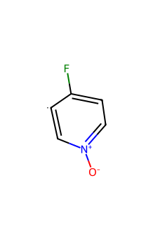 [O-][n+]1c[c]c(F)cc1